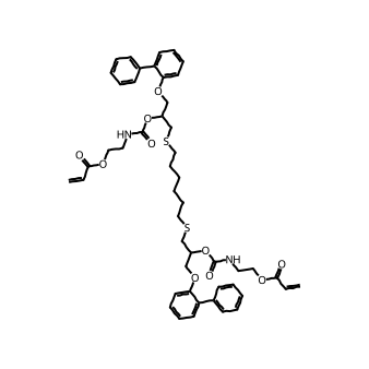 C=CC(=O)OCCNC(=O)OC(COc1ccccc1-c1ccccc1)CSCCCCCCSCC(COc1ccccc1-c1ccccc1)OC(=O)NCCOC(=O)C=C